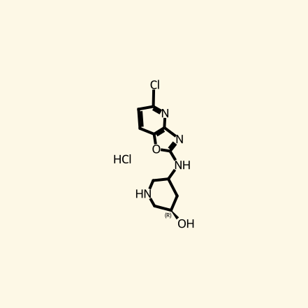 Cl.O[C@H]1CNCC(Nc2nc3nc(Cl)ccc3o2)C1